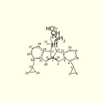 CC1=Cc2c(C3CC3)cccc2[CH]1[Hf]([CH3])([CH3])(=[SiH2])[CH]1C(C)=Cc2c(C3CC3)cccc21.Cl.Cl